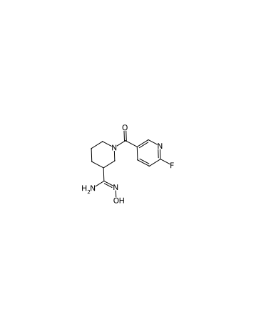 NC(=NO)C1CCCN(C(=O)c2ccc(F)nc2)C1